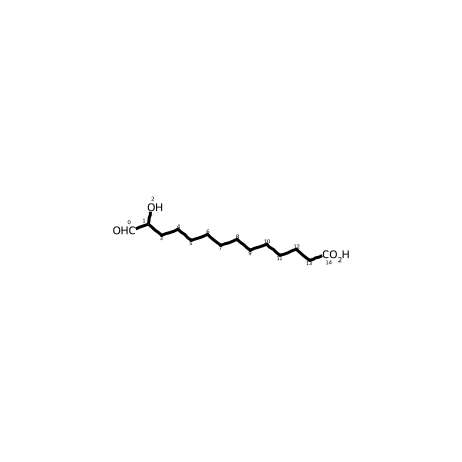 O=CC(O)CCCCCCCCCCCC(=O)O